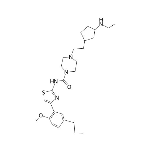 CCCc1ccc(OC)c(-c2csc(NC(=O)N3CCN(CCC4CCC(NCC)C4)CC3)n2)c1